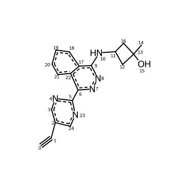 C#Cc1cnc(-c2nnc(NC3CC(C)(O)C3)c3ccccc23)nc1